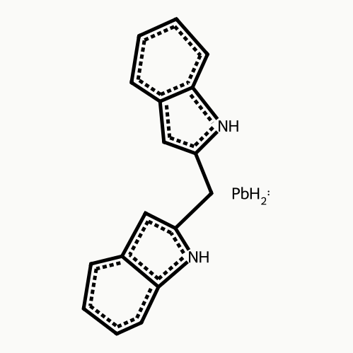 [PbH2].c1ccc2[nH]c(Cc3cc4ccccc4[nH]3)cc2c1